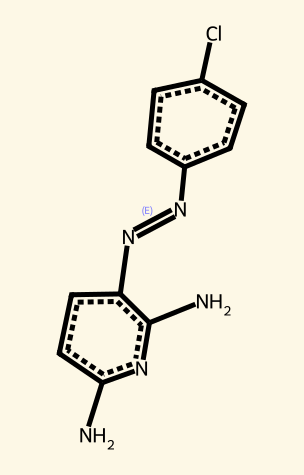 Nc1ccc(/N=N/c2ccc(Cl)cc2)c(N)n1